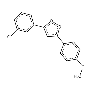 COc1ccc(-c2cc(-c3cccc(Cl)c3)on2)cc1